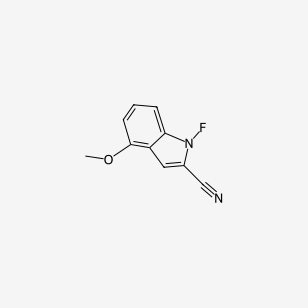 COc1cccc2c1cc(C#N)n2F